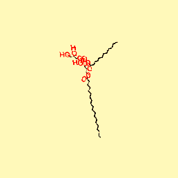 CCCCCCCCCCCCCCCCCCCC(=O)OC[C@H](COP(=O)(O)OC[C@@H](O)CO)OC(=O)CCCCCCCCCCC